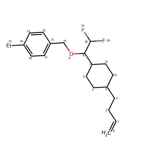 C=CCCC1CCC(C(OCc2ccc(CC)cc2)C(F)F)CC1